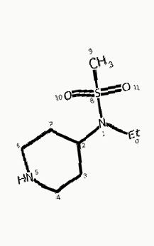 CCN(C1CCNCC1)S(C)(=O)=O